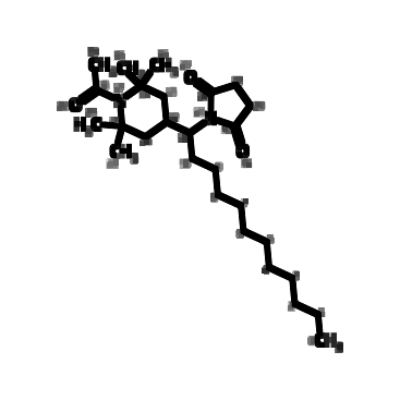 CCCCCCCCCCCC(C1CC(C)(C)N(C(C)=O)C(C)(C)C1)N1C(=O)CCC1=O